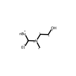 CCCCC(CC)N(C)CCO